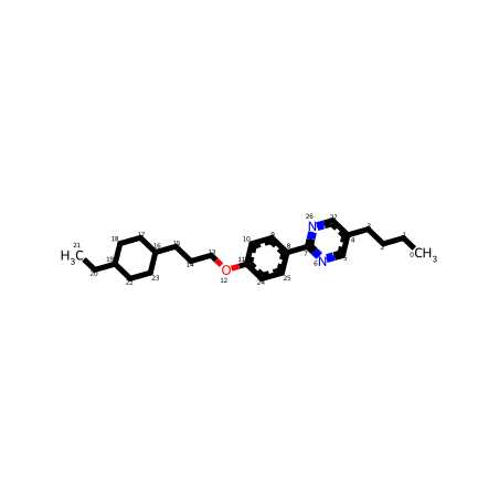 CCCCc1cnc(-c2ccc(OCCCC3CCC(CC)CC3)cc2)nc1